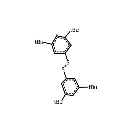 CC(C)(C)c1[c]c(C(C)(C)C)cc(SSc2cc(C(C)(C)C)[c]c(C(C)(C)C)c2)c1